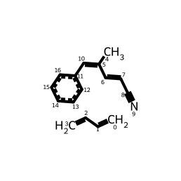 C=CC=C.CC(C=CC#N)=Cc1ccccc1